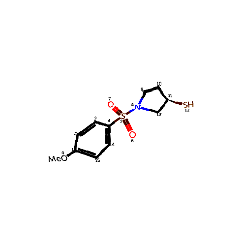 COc1ccc(S(=O)(=O)N2CC[C@@H](S)C2)cc1